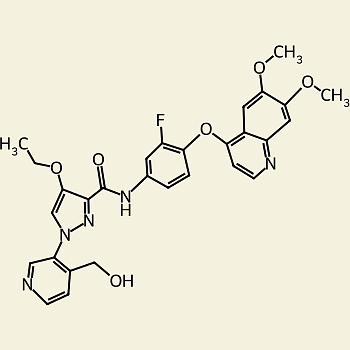 CCOc1cn(-c2cnccc2CO)nc1C(=O)Nc1ccc(Oc2ccnc3cc(OC)c(OC)cc23)c(F)c1